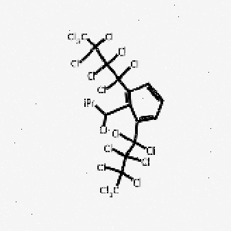 CC(C)C([O])c1c(C(Cl)(Cl)C(Cl)(Cl)C(Cl)(Cl)C(Cl)(Cl)Cl)cccc1C(Cl)(Cl)C(Cl)(Cl)C(Cl)(Cl)C(Cl)(Cl)Cl